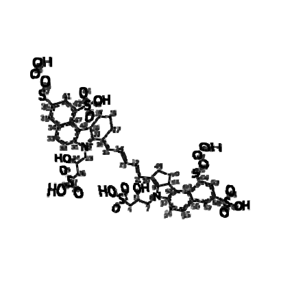 O=S(=O)(O)CC(O)CN1C2=C(/C=C/C=C/C=C3\CCCC4C3=[N+](CC(O)CS(=O)(=O)O)c3ccc5cc(SOOO)cc(S(=O)(=O)O)c5c34)CCC2c2c1ccc1cc(S(=O)(=O)O)cc(SOOO)c21